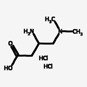 CN(C)CC(N)CC(=O)O.Cl.Cl